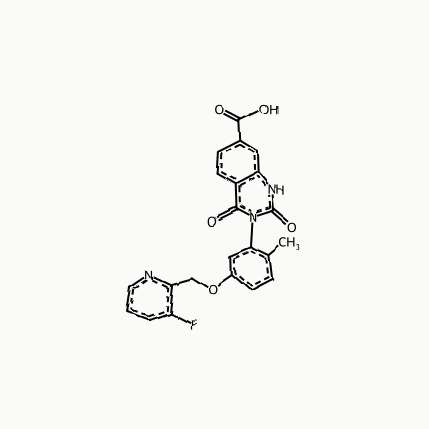 Cc1ccc(OCc2ncccc2F)cc1-n1c(=O)[nH]c2cc(C(=O)O)ccc2c1=O